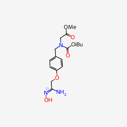 COC(=O)CN(Cc1ccc(OC/C(N)=N/O)cc1)C(=O)OCC(C)C